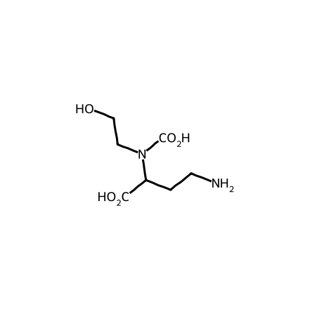 NCCC(C(=O)O)N(CCO)C(=O)O